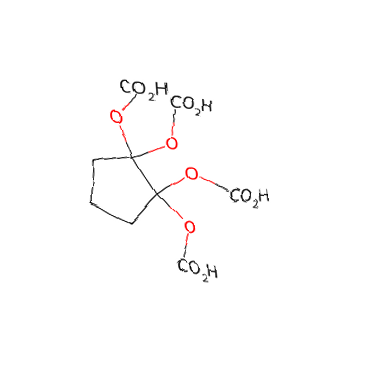 O=C(O)OC1(OC(=O)O)CCCC1(OC(=O)O)OC(=O)O